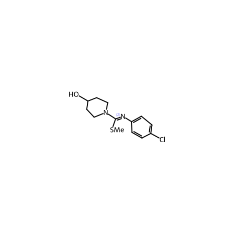 CS/C(=N\c1ccc(Cl)cc1)N1CCC(O)CC1